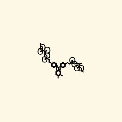 C=C(COC(=O)CCc1ccc(N(c2ccc(CCC(=O)OCC(=O)C(=O)OCC)cc2)c2ccc(C)c(C)c2)cc1)C(=O)OCC